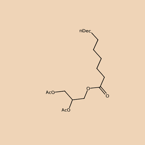 CCCCCCCCCCCCCCCC(=O)OCC(COC(C)=O)OC(C)=O